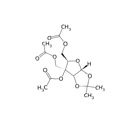 CC(=O)OC[C@H]1O[C@@H]2OC(C)(C)OC2[C@@]1(COC(C)=O)OC(C)=O